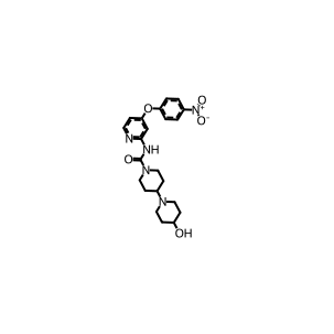 O=C(Nc1cc(Oc2ccc([N+](=O)[O-])cc2)ccn1)N1CCC(N2CCC(O)CC2)CC1